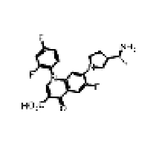 C[C@@H](N)[C@@H]1CCN(c2cc3c(cc2F)c(=O)c(C(=O)O)cn3-c2ccc(F)cc2F)C1